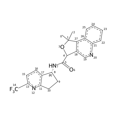 CC1(C)OC(C(=O)N[C@@H]2CCc3nc(C(F)(F)F)ccc32)c2cnc3ccccc3c21